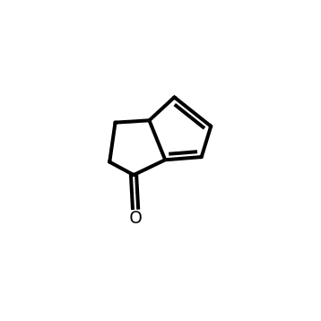 O=C1CCC2C=CC=C12